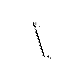 NCCNCCCCCCCCCCCCCCCC[SiH3]